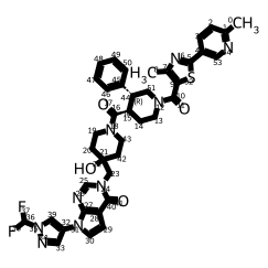 Cc1ccc(-c2nc(C)c(C(=O)N3CC[C@@H](C(=O)N4CCC(O)(Cn5cnc6c(ccn6-c6cnn(C(F)F)c6)c5=O)CC4)[C@H](c4ccccc4)C3)s2)cn1